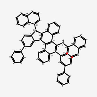 c1ccc(-c2cccc(-c3c(Nc4cccc5ccccc45)c4c5ccccc5c5c(c6cc(-c7ccccc7)ccc6n5-c5cccc6ccccc56)c4c4ccccc34)c2)cc1